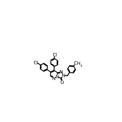 Cc1ccc(Cn2nc3c(-c4ccc(Cl)cc4)c(-c4ccc(Cl)cc4)cnn3c2=O)cc1